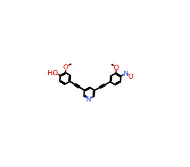 COc1cc(C#Cc2cncc(C#Cc3ccc(N=O)c(OC)c3)c2)ccc1O